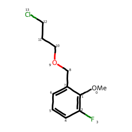 COc1c(F)cccc1COCCCCl